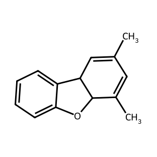 CC1=CC2c3ccccc3OC2C(C)=C1